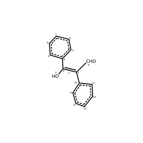 O=C/C(=C(/O)c1ccccc1)c1ccccc1